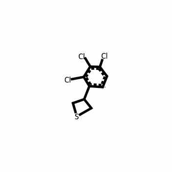 Clc1c[c]c(C2CSC2)c(Cl)c1Cl